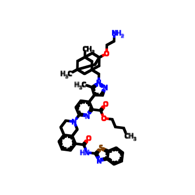 CCCCOC(=O)c1nc(N2CCc3cccc(C(=O)Nc4nc5ccccc5s4)c3C2)ccc1-c1cnn(CC23CC4(C)CC(C)(C2)CC(OCCN)(C4)C3)c1C